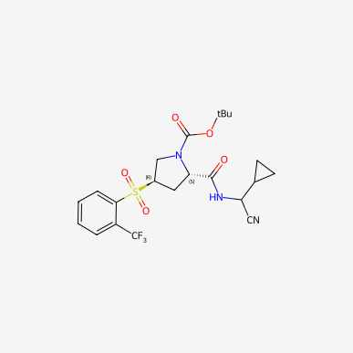 CC(C)(C)OC(=O)N1C[C@H](S(=O)(=O)c2ccccc2C(F)(F)F)C[C@H]1C(=O)NC(C#N)C1CC1